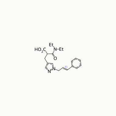 CCN(CC)C(=O)C(Cc1cnn(C/C=C/c2ccccc2)c1)C(=O)O